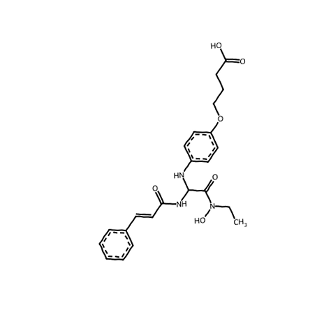 CCN(O)C(=O)C(NC(=O)C=Cc1ccccc1)Nc1ccc(OCCCC(=O)O)cc1